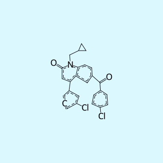 O=C(c1ccc(Cl)cc1)c1ccc2c(c1)c(-c1cccc(Cl)c1)cc(=O)n2CC1CC1